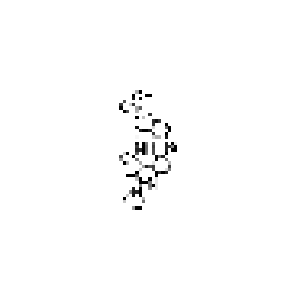 Cc1c(N2CCCCC2)nc2ccc(Br)cc2c1C(=O)NCC(CCC(=O)O)c1ccccc1Cl